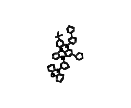 CC(C)(C)c1ccc2c(c1)N(c1cccc(-c3ccccc3)c1)c1cc(C3CCCCC3)cc3c1B2c1ccccc1N3c1cccc(N2c3ccccc3Oc3ccccc32)c1